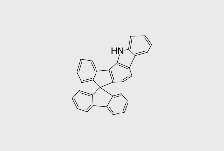 c1ccc2c(c1)-c1ccccc1C21c2ccccc2-c2c1ccc1c2[nH]c2ccccc21